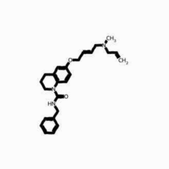 C=CCN(C)CC=CCOc1ccc2c(c1)CCCN2C(=O)NCc1ccccc1